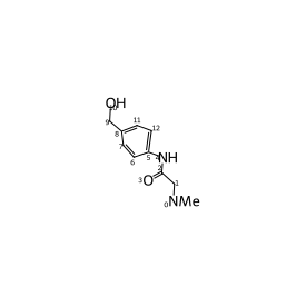 CNCC(=O)Nc1ccc(CO)cc1